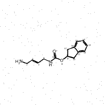 NC/C=C/CNC(=O)OC1Cc2ccccc2C1